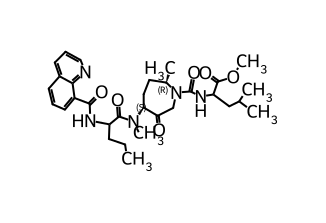 CCCC(NC(=O)c1cccc2cccnc12)C(=O)N(C)[C@H]1CC[C@@H](C)N(C(=O)NC(CC(C)C)C(=O)OC)CC1=O